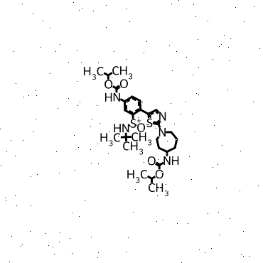 CC(C)OC(=O)Nc1ccc(-c2cnc(N3CCCC(NC(=O)OC(C)C)CC3)s2)c([S+]([O-])NC(C)(C)C)c1